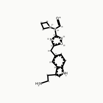 NCCc1c[nH]c2ccc(Cc3nc(N(C=O)N4CCC4)no3)cc12